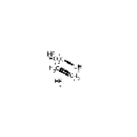 C=C.F.F.O=C(O)O